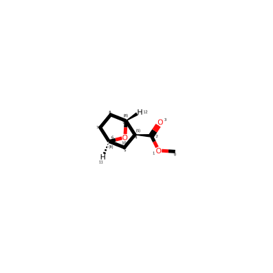 COC(=O)[C@H]1C[C@H]2CC[C@H]1O2